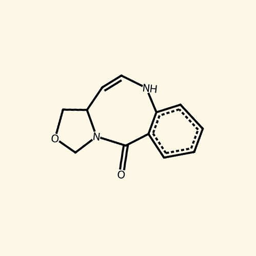 O=C1c2ccccc2NC=CC2COCN12